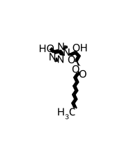 CCCCCCCCCC(=O)OC[C@@H]1C[C@@H](O)[C@H](n2cnc3c(O)ncnc32)O1